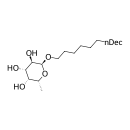 CCCCCCCCCCCCCCCCO[C@H]1O[C@H](C)[C@H](O)[C@H](O)[C@H]1O